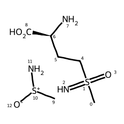 CS(=N)(=O)CC[C@H](N)C(=O)O.C[S+](N)[O-]